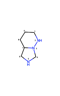 C1CNN2CNCC2C1